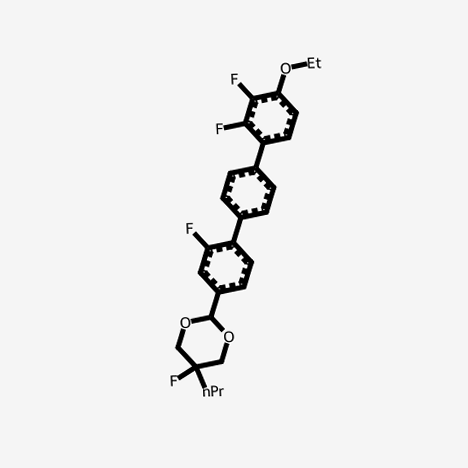 CCCC1(F)COC(c2ccc(-c3ccc(-c4ccc(OCC)c(F)c4F)cc3)c(F)c2)OC1